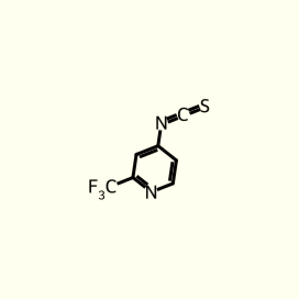 FC(F)(F)c1cc(N=C=S)ccn1